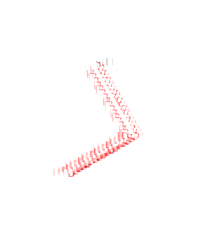 O.O.O.O.O.O.O.O.O.O.O.O.O.O.O.O.O.O.O.O.O.O.O.O.O.O.O.O.O.O.O.O.O.O.O.[SrH2]